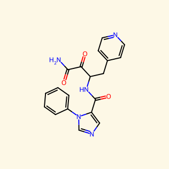 NC(=O)C(=O)C(Cc1ccncc1)NC(=O)c1cncn1-c1ccccc1